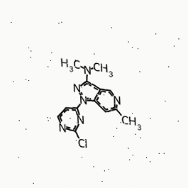 Cc1cc2c(cn1)c(N(C)C)nn2-c1ccnc(Cl)n1